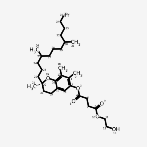 Cc1c(OC(=O)CCC(=O)OCCO)cc2c(c1C)O[C@](C)(CCCC(C)CCCC(C)CCCC(C)C)CC2